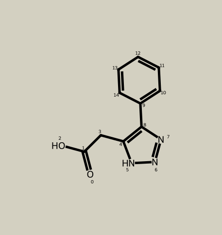 O=C(O)Cc1[nH]nnc1-c1ccccc1